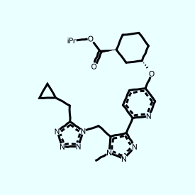 CC(C)OC(=O)[C@H]1CCC[C@H](Oc2ccc(-c3nnn(C)c3Cn3nnnc3CC3CC3)nc2)C1